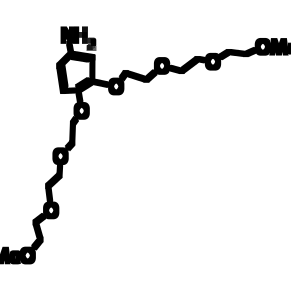 COCCOCCOCCOc1ccc(N)cc1OCCOCCOCCOC